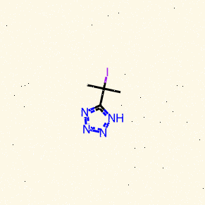 CC(C)(I)c1nnn[nH]1